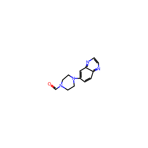 O=CN1CCN(c2ccc3nccnc3c2)CC1